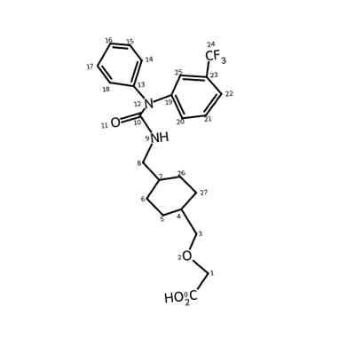 O=C(O)COCC1CCC(CNC(=O)N(c2ccccc2)c2cccc(C(F)(F)F)c2)CC1